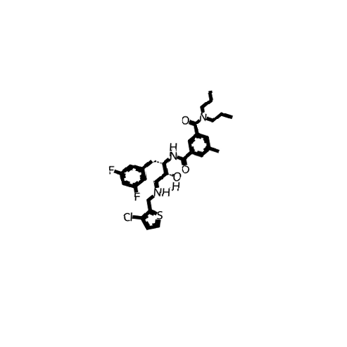 CCCN(CCC)C(=O)c1cc(C)cc(C(=O)N[C@@H](Cc2cc(F)cc(F)c2)[C@H](O)CNCc2sccc2Cl)c1